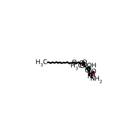 CCCCCCCCCCCCCCCCOCCCOP(=O)(OC)OC[C@H]1O[C@@H](n2cnc(N)nc2=O)C[C@H]1O